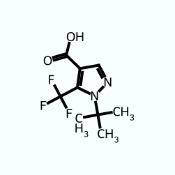 CC(C)(C)n1ncc(C(=O)O)c1C(F)(F)F